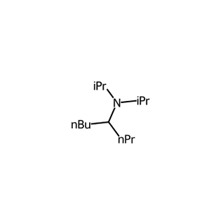 CCCCC(CCC)N(C(C)C)C(C)C